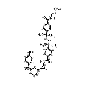 COCCNC(=O)c1ccc(C(C)(C)CCC(C)(C)c2ccc(C(=O)NC3CC3C3CN(C(=O)c4ccc(C(C)(C)C)cc4)CCO3)cc2)cc1